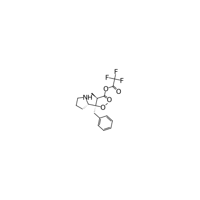 CO[C@@](Cc1ccccc1)([C@@H]1CCCN1)[C@@H](C)C(=O)OC(=O)C(F)(F)F